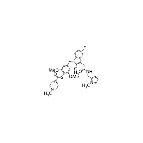 COc1cc(C=C2C(C)=C(CC(=O)NCc3cccn3C)c3cc(F)ccc32)cc(OC)c1SC(=O)N1CCN(C)CC1